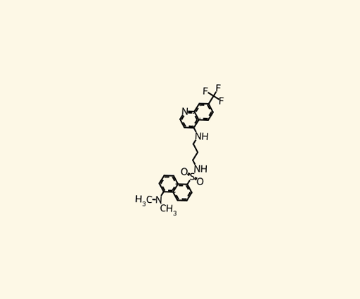 CN(C)c1cccc2c(S(=O)(=O)NCCCNc3ccnc4cc(C(F)(F)F)ccc34)cccc12